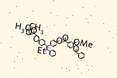 CC/C(=C(/c1ccc(OCC(=O)c2ccc(OCc3ccccc3)c(OC)c2)cc1)c1ccc(OCC2COC(C)(C)O2)cc1)c1ccccc1